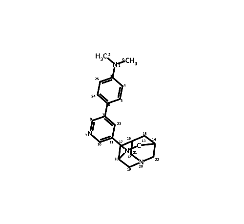 CN(C)c1ccc(-c2cncc(N3CC4CC5CC3CN(C5)C4)c2)cc1